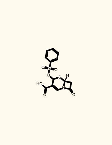 O=C(O)C1=CN2C(=O)C[C@H]2SC1OS(=O)(=O)c1ccccc1